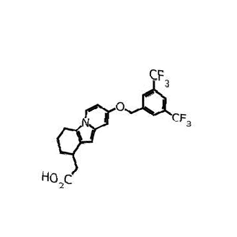 O=C(O)CC1CCCc2c1cc1cc(OCc3cc(C(F)(F)F)cc(C(F)(F)F)c3)ccn21